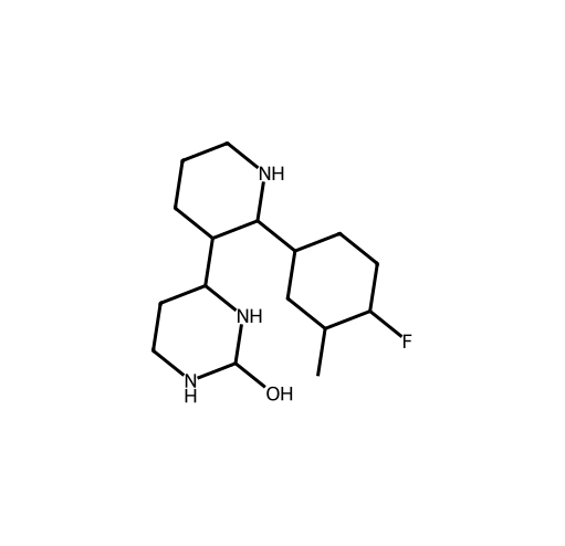 CC1CC(C2NCCCC2C2CCNC(O)N2)CCC1F